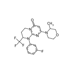 CC1COCCN1c1cc(=O)n2c(n1)N(c1cccc(F)c1)C(C(F)(F)F)CC2